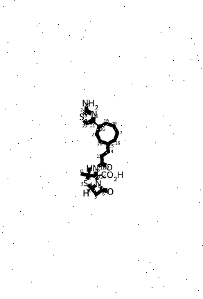 CC1(C)S[C@@H]2CC(=O)N2[C@@]1(NC(=O)CCC1CCCC[C@H](c2csc(N)n2)CC1)C(=O)O